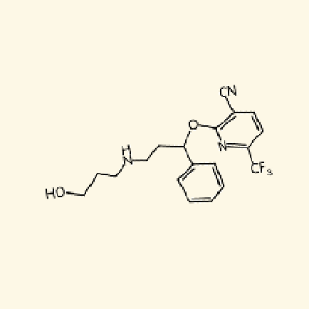 N#Cc1ccc(C(F)(F)F)nc1OC(CCNCCCO)c1ccccc1